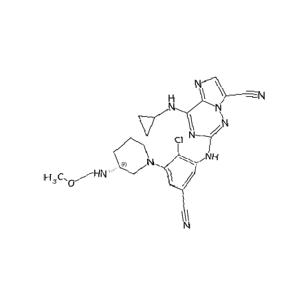 COCN[C@@H]1CCCN(c2cc(C#N)cc(Nc3nc(NC4CC4)c4ncc(C#N)n4n3)c2Cl)C1